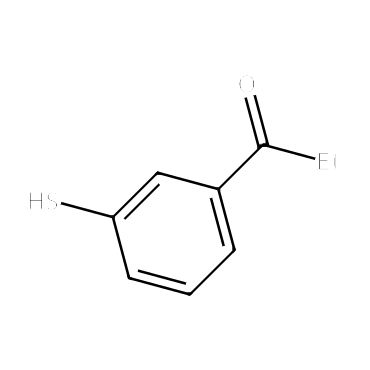 CCC(=O)c1cccc(S)c1